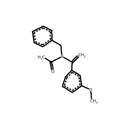 C=C(c1cccc(OC)c1)N(Cc1ccccc1)C(C)=O